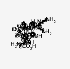 CC[C@H](C)[C@H](NC(=O)[C@@H](NC(=O)[C@@H]1CCCN1C(=O)[C@@H](NC(=O)[C@@H]1CCCN1C(=O)[C@H](CCCCN)NC(=O)[C@@H](N)CCCCN)C(C)C)[C@@H](C)CC)C(=O)N[C@@H](Cc1ccc(O)cc1)C(=O)N[C@@H](CS)C(=O)N[C@@H](CC(N)=O)C(=O)O